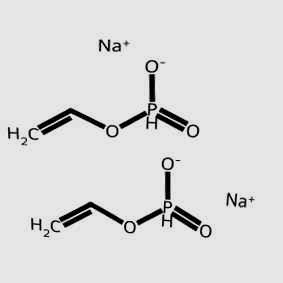 C=CO[PH](=O)[O-].C=CO[PH](=O)[O-].[Na+].[Na+]